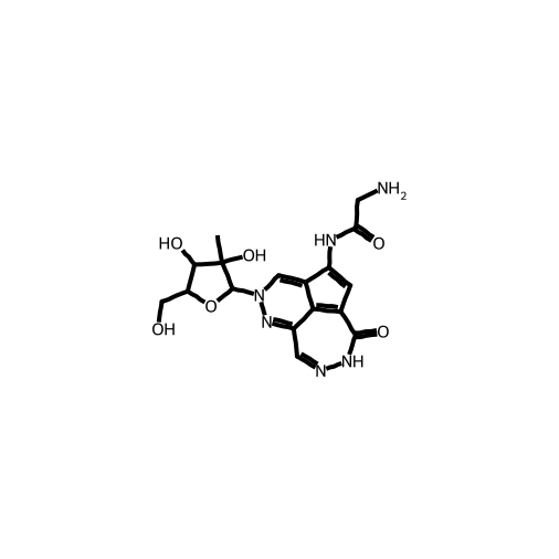 CC1(O)C(O)C(CO)OC1n1cc2c(NC(=O)CN)cc3c(=O)[nH]ncc(n1)c23